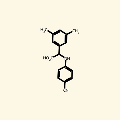 Cc1cc(C)cc(C(Nc2ccc(C#N)cc2)C(=O)O)c1